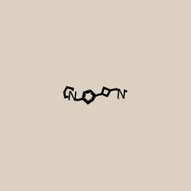 CN(C)CC1CC(c2ccc(CN3CCCC3)cc2)C1